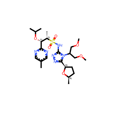 COCC(COC)n1c(NS(=O)(=O)[C@@H](C)[C@@H](OC(C)C)c2ncc(C)cn2)nnc1[C@H]1CC[C@@H](C)O1